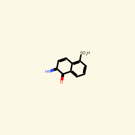 N=C1C=Cc2c(cccc2S(=O)(=O)O)C1=O